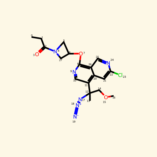 CCC(=O)N1CC(Oc2ncc(C(C)(COC)N=[N+]=[N-])c3cc(Cl)ncc23)C1